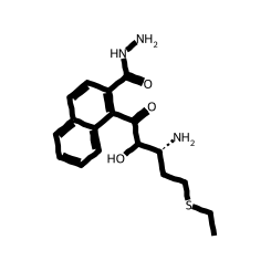 CCSCC[C@@H](N)C(O)C(=O)c1c(C(=O)NN)ccc2ccccc12